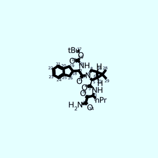 CCCC(NC(=O)[C@@H]1[C@@H]2[C@H](CN1C(=O)[C@@H](NC(=O)OC(C)(C)C)C1Cc3ccccc3C1)C2(C)C)C(=O)C(N)=O